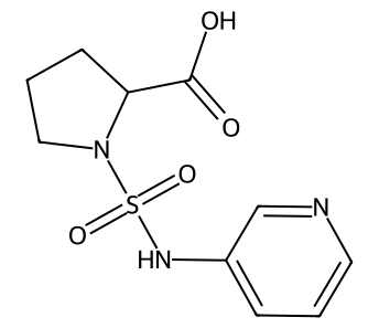 O=C(O)C1CCCN1S(=O)(=O)Nc1cccnc1